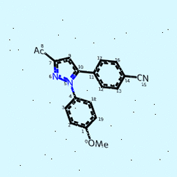 COc1ccc(-n2nc(C(C)=O)cc2-c2ccc(C#N)cc2)cc1